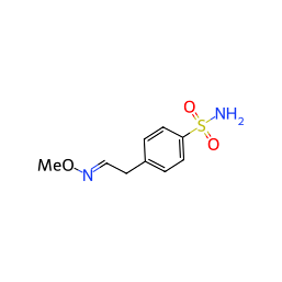 CON=CCc1ccc(S(N)(=O)=O)cc1